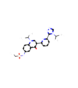 CCS(=O)(=O)Nc1ccc2c(c1)c(=O)c(-c1cccc(-c3nncn3C(C)C)n1)cn2C(C)C